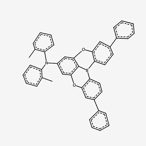 Cc1ccccc1N(c1cc2c3c(c1)Oc1cc(-c4ccccc4)ccc1B3c1ccc(-c3ccccc3)cc1O2)c1ccccc1C